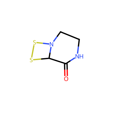 O=C1NCCN2SSC12